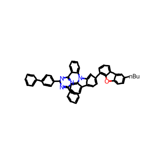 CCCCc1ccc2oc3c(-c4ccc5c6ccccc6n(-c6ccccc6-c6nc(-c7ccccc7)nc(-c7ccc(-c8ccccc8)cc7)n6)c5c4)cccc3c2c1